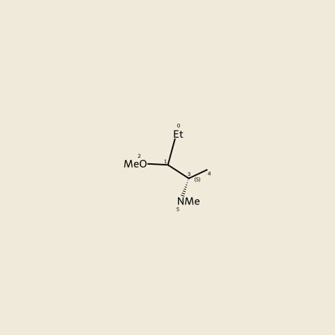 CCC(OC)[C@H](C)NC